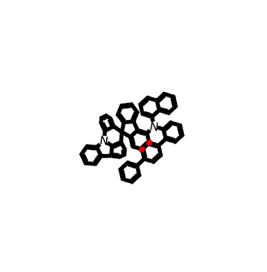 c1ccc(-c2ccc(-c3ccccc3N(c3cccc4c3-c3ccccc3C43c4ccccc4-n4c5ccccc5c5cccc3c54)c3cccc4ccccc34)cc2)cc1